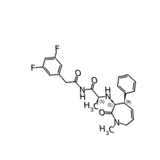 C[C@H](N[C@@H]1C(=O)N(C)CC=C[C@@H]1c1ccccc1)C(=O)NC(=O)Cc1cc(F)cc(F)c1